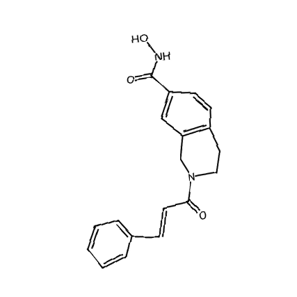 O=C(NO)c1ccc2c(c1)CN(C(=O)/C=C/c1ccccc1)CC2